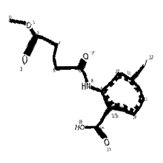 COC(=O)CCC(=O)Nc1cc(I)ccc1C(=O)O